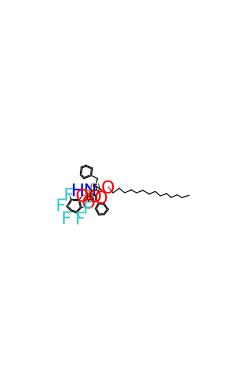 CCCCCCCCCCCCCCOC(=O)[C@H](Cc1ccccc1)N[P@](=O)(Oc1ccccc1)Oc1c(F)c(F)c(F)c(F)c1F